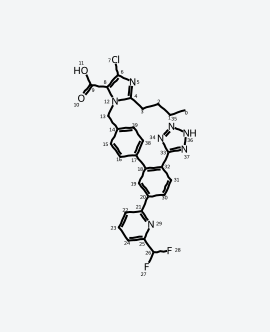 CCCCc1nc(Cl)c(C(=O)O)n1Cc1ccc(-c2cc(-c3cccc(C(F)F)n3)ccc2-c2nn[nH]n2)cc1